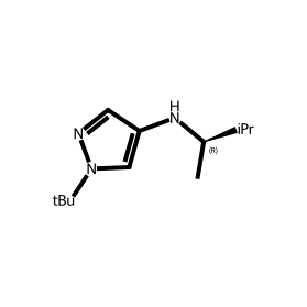 CC(C)[C@@H](C)Nc1cnn(C(C)(C)C)c1